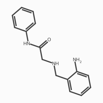 Nc1ccccc1CNCC(=O)Nc1ccccc1